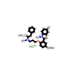 COc1ccc(OCCCN(C(C)C)C(Cc2ccccc2)C(=O)O)c(C2Sc3cc(Cl)ccc3N2C(C)=O)c1.Cl